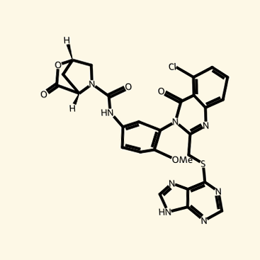 COc1ccc(NC(=O)N2C[C@@H]3C[C@H]2C(=O)O3)cc1-n1c(CSc2ncnc3[nH]cnc23)nc2cccc(Cl)c2c1=O